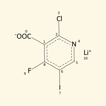 O=C([O-])c1c(Cl)ncc(I)c1F.[Li+]